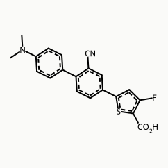 CN(C)c1ccc(-c2ccc(-c3cc(F)c(C(=O)O)s3)cc2C#N)cc1